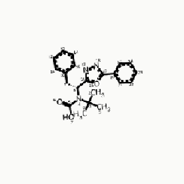 CC(C)(C)N(C(=O)O)[C@H](Cc1ccccc1)c1nnc(-c2ccccc2)o1